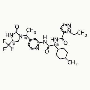 CCn1nccc1C(=O)N[C@H](C(=O)Nc1cc([C@@H](C)N2C[C@@H](C(F)(F)F)NC2=O)ccn1)C1CCC(C)CC1